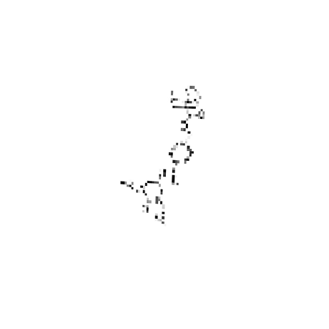 COCN1CC(OC(=O)c2ccc(COC(=O)C34CC5CC(CC(C5)C3)C4)cc2)CN(COC)C1=O